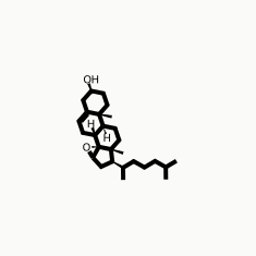 CC(C)CCCC(C)[C@H]1CC2O[C@@]23[C@@H]2CC=C4C[C@@H](O)CC[C@]4(C)[C@H]2CC[C@]13C